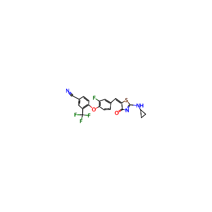 N#Cc1ccc(Oc2ccc(/C=C3/SC(NC4CC4)=NC3=O)cc2F)c(C(F)(F)F)c1